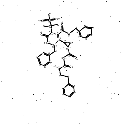 C[C@@H](C[CH]c1ccccc1)C(=O)NC(=O)[C@H]1OC1C[C@H](Cc1ccccc1)NC(=O)[C@@H](NC(=O)OCc1ccccc1)C(C)(C)S(C)(=O)=O